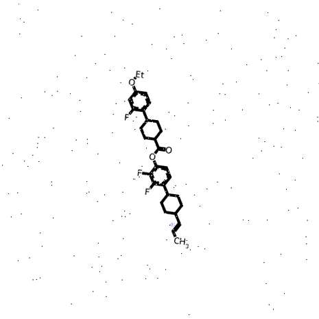 C/C=C/C1CCC(c2ccc(OC(=O)C3CCC(c4ccc(OCC)cc4F)CC3)c(F)c2F)CC1